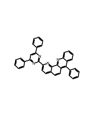 c1ccc(-c2cc(-c3ccccc3)nc(-c3ccc4ccc5c(-c6ccccc6)c6ccccc6nc5c4n3)n2)cc1